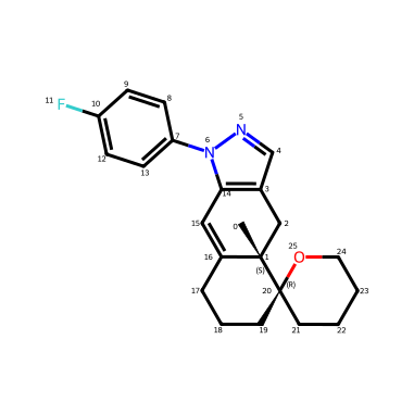 C[C@]12Cc3cnn(-c4ccc(F)cc4)c3C=C1CCC[C@@]21CCCCO1